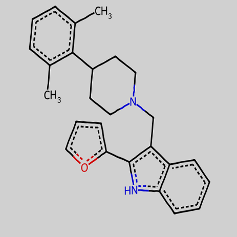 Cc1cccc(C)c1C1CCN(Cc2c(-c3ccco3)[nH]c3ccccc23)CC1